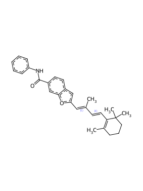 CC1=C(/C=C/C(C)=C/c2cc3ccc(C(=O)Nc4ccccc4)cc3o2)C(C)(C)CCC1